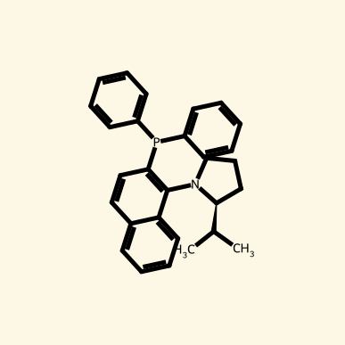 CC(C)[C@@H]1CCCN1c1c(P(c2ccccc2)c2ccccc2)ccc2ccccc12